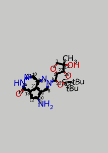 CC1(O)COC2C(n3cc4c(N)cc5c(=O)[nH]ncc(n3)c45)O[Si](C(C)(C)C)(C(C)(C)C)OC21